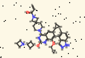 C=CC(=O)N1CC2(CCN(c3nc(O[C@H]4C[C@@H](N5CCC5)C4)nc4c(OCC(F)(F)F)c(-c5c(C)ccc6[nH]ncc56)c(C5CC5)cc34)CC2)C1